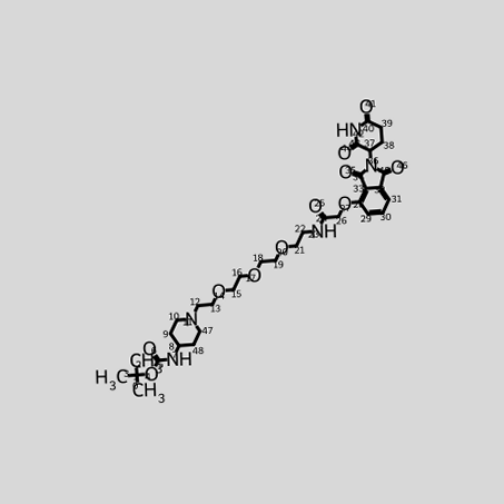 CC(C)(C)OC(=O)NC1CCN(CCOCCOCCOCCNC(=O)COc2cccc3c2C(=O)N(C2CCC(=O)NC2=O)C3=O)CC1